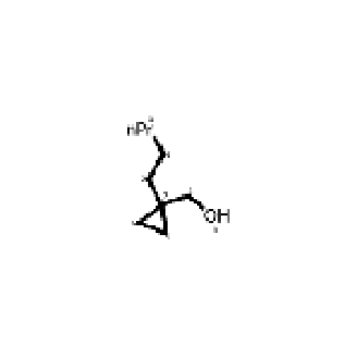 CCCCCC1(CO)CC1